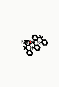 COC(=O)c1c(N2c3ccccc3C(C)(C)c3ccccc32)cccc1N1c2ccccc2C(C)(C)c2ccccc21